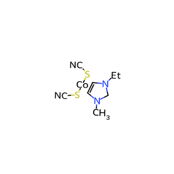 CCN1C=CN(C)C1.N#C[S][Co][S]C#N